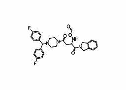 O=CONC(CC(=O)N1CCN(C(c2ccc(F)cc2)c2ccc(F)cc2)CC1)C(=O)N1Cc2ccccc2C1